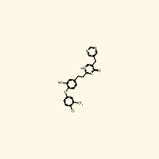 N#Cc1cc(CCc2nc(=O)c(Cc3cncnc3)c[nH]2)ccc1Oc1ccc(Cl)c(C(F)(F)F)c1